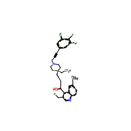 COc1ccc2ncc(CF)c(C(O)CCC3(CC(=O)O)CCN(CC#Cc4cc(F)c(F)c(F)c4)CC3)c2c1